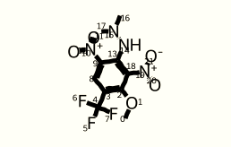 COc1c(C(F)(F)F)cc([N+](=O)[O-])c(NN(C)C)c1[N+](=O)[O-]